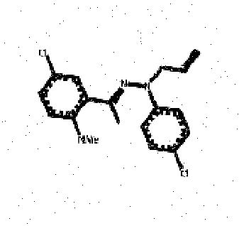 C=CCN(/N=C(\C)c1cc(Cl)ccc1NC)c1ccc(Cl)cc1